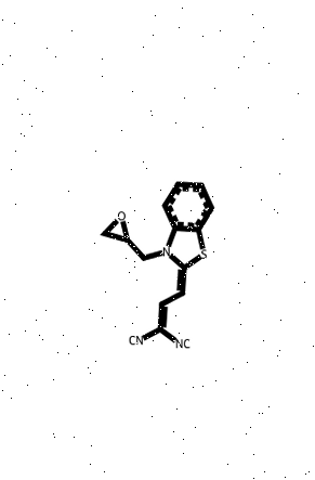 [C-]#[N+]C(=CC=C1Sc2ccccc2N1CC1CO1)[N+]#[C-]